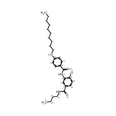 CCCCCCCCCCOc1ccc(C(=O)Nc2cc(C(=O)NCCCC)ccc2Cl)cc1